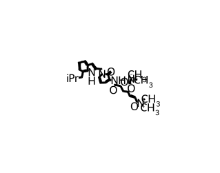 CC(C)Cc1cccc2cc(Cn3cccc(NC(=O)C(CC/C=C/C(=O)N(C)C)OC(=O)N(C)C)c3=O)[nH]c12